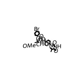 COCC(C)(C=O)NP(=O)(OC[C@@H]1C=C[C@H](n2cc(C)c(=O)[nH]c2=O)O1)Oc1ccc(Br)cc1